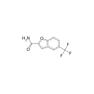 NC(=O)c1cc2cc(C(F)(F)F)ccc2o1